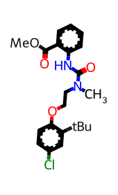 COC(=O)c1ccccc1NC(=O)N(C)CCOc1ccc(Cl)cc1C(C)(C)C